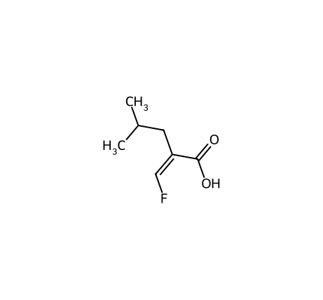 CC(C)CC(=CF)C(=O)O